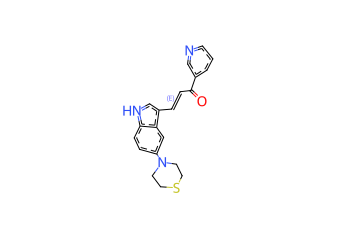 O=C(/C=C/c1c[nH]c2ccc(N3CCSCC3)cc12)c1cccnc1